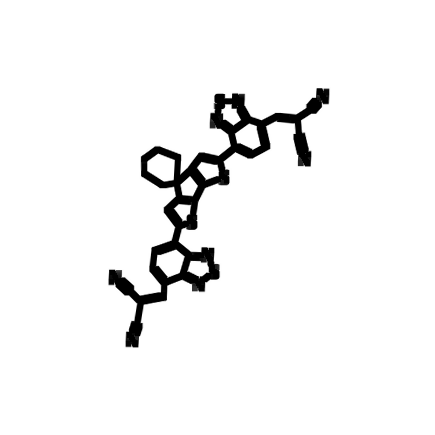 N#CC(C#N)=Cc1ccc(-c2cc3c(s2)-c2sc(-c4ccc(C=C(C#N)C#N)c5nsnc45)cc2C32CCCCC2)c2nsnc12